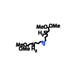 COC(C[SiH2]CCCN(C)CCC[SiH2]CC(OC)OC)OC